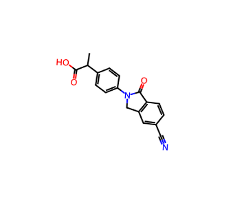 CC(C(=O)O)c1ccc(N2Cc3cc(C#N)ccc3C2=O)cc1